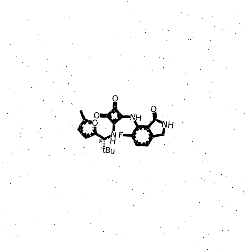 Cc1ccc([C@H](Nc2c(Nc3c(F)ccc4c3C(=O)NC4)c(=O)c2=O)C(C)(C)C)o1